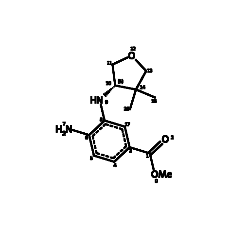 COC(=O)c1ccc(N)c(N[C@@H]2COCC2(C)C)c1